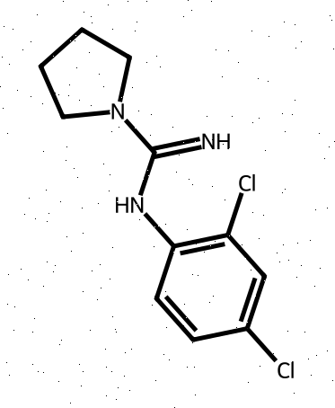 N=C(Nc1ccc(Cl)cc1Cl)N1CCCC1